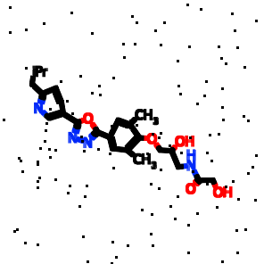 Cc1cc(-c2nnc(-c3ccc(CC(C)C)nc3)o2)cc(C)c1OCC(O)CNC(=O)CO